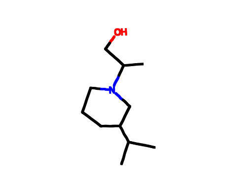 CC(C)C1CCCN(C(C)CO)C1